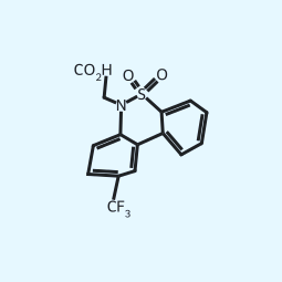 O=C(O)CN1c2ccc(C(F)(F)F)cc2-c2ccccc2S1(=O)=O